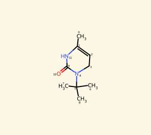 CC1=CCN(C(C)(C)C)C(=O)N1